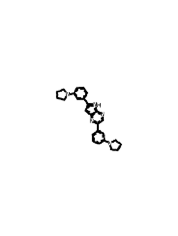 c1cc(-c2cnc3[nH]c(-c4cccc(N5CCCC5)c4)cc3n2)cc(N2CCCC2)c1